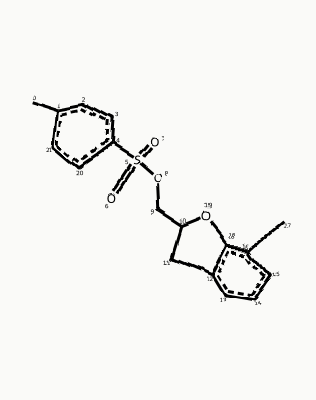 Cc1ccc(S(=O)(=O)OCC2Cc3cccc(C)c3O2)cc1